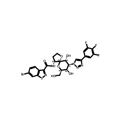 O=C(N[C@@H]1CCO[C@]12O[C@H](CO)[C@H](O)[C@H](n1cc(-c3cc(F)c(F)c(F)c3)nn1)[C@H]2O)c1nsc2cc(Br)ccc12